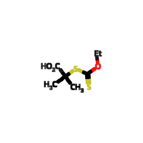 CCOC(=S)SC(C)(C)C(=O)O